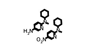 CN(c1ccc(N)cn1)C1CCCCC1.CN(c1ccc([N+](=O)[O-])cn1)C1CCCCC1